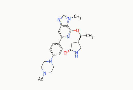 CC(=O)N1CCN(c2ccc(-c3cc4ncn(C)c4c(OC(C)[C@H]4CNC(=O)C4)n3)cc2)CC1